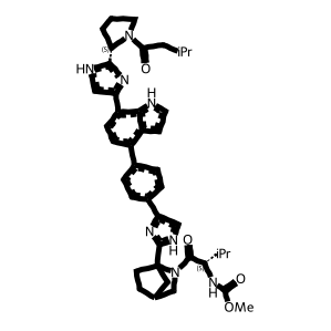 COC(=O)N[C@H](C(=O)N1CC2CCC1(c1nc(-c3ccc(-c4ccc(-c5c[nH]c([C@@H]6CCCN6C(=O)CC(C)C)n5)c5[nH]ccc45)cc3)c[nH]1)C2)C(C)C